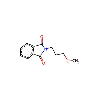 COCCCN1C(=O)c2ccccc2C1=O